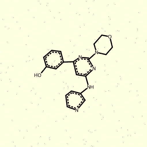 Oc1cccc(-c2cc(Nc3cccnc3)nc(N3CCOCC3)n2)c1